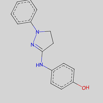 Oc1ccc(NC2=NN(c3ccccc3)CC2)cc1